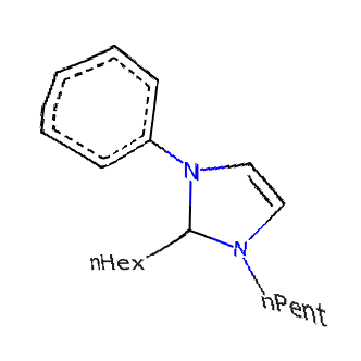 CCCCCCC1N(CCCCC)C=CN1c1ccccc1